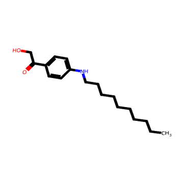 CCCCCCCCCCNc1ccc(C(=O)CO)cc1